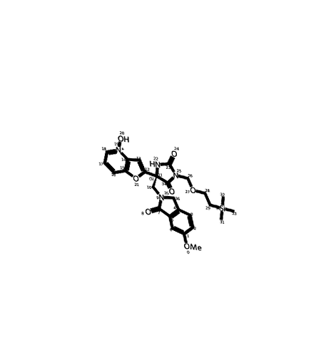 COc1ccc2c(c1)C(=O)N(C[C@@]1(c3cc4c(ccc[n+]4O)o3)NC(=O)N(COCC[Si](C)(C)C)C1=O)C2